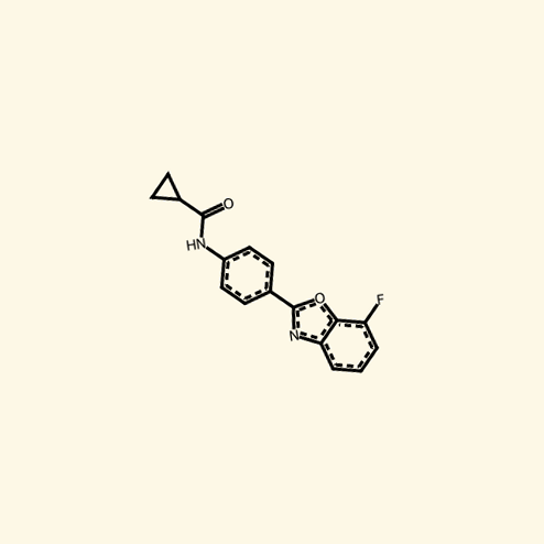 O=C(Nc1ccc(-c2nc3cccc(F)c3o2)cc1)C1CC1